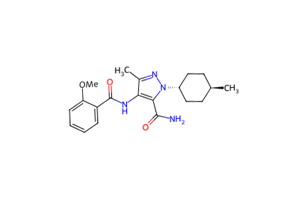 COc1ccccc1C(=O)Nc1c(C)nn([C@H]2CC[C@H](C)CC2)c1C(N)=O